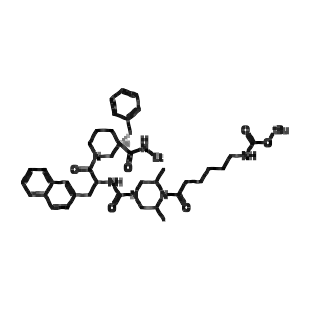 CCNC(=O)[C@]1(Cc2ccccc2)CCCN(C(=O)C(Cc2ccc3ccccc3c2)NC(=O)N2CC(C)N(C(=O)CCCCCNC(=O)OC(C)(C)C)C(C)C2)C1